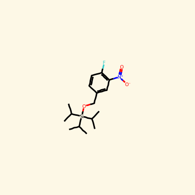 CC(C)[Si](OCc1ccc(F)c([N+](=O)[O-])c1)(C(C)C)C(C)C